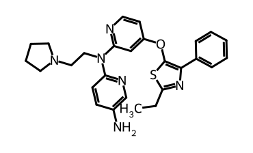 CCc1nc(-c2ccccc2)c(Oc2ccnc(N(CCN3CCCC3)c3ccc(N)cn3)c2)s1